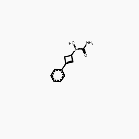 NC(=O)N(O)C1C=C(c2ccccc2)C1